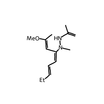 C=C(C)NN(C)C(/C=C(\C)OC)=C/C=CCC